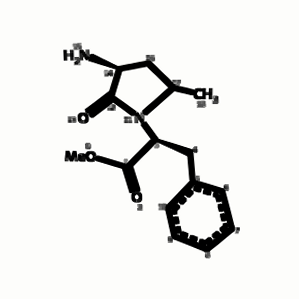 COC(=O)[C@H](Cc1ccccc1)N1C(=O)[C@@H](N)CC1C